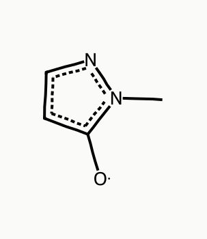 Cn1nccc1[O]